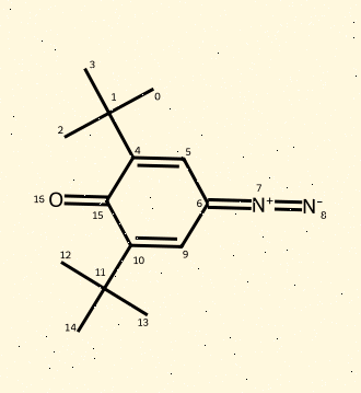 CC(C)(C)C1=CC(=[N+]=[N-])C=C(C(C)(C)C)C1=O